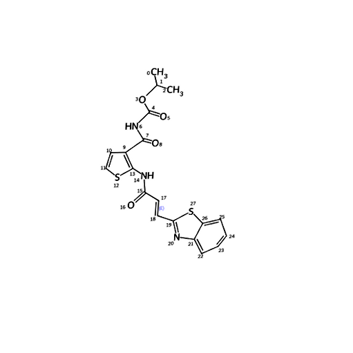 CC(C)OC(=O)NC(=O)c1ccsc1NC(=O)/C=C/c1nc2ccccc2s1